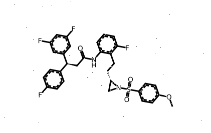 COc1ccc(S(=O)(=O)N2C[C@@H]2CCc2c(F)cccc2NC(=O)C[C@@H](c2ccc(F)cc2)c2cc(F)cc(F)c2)cc1